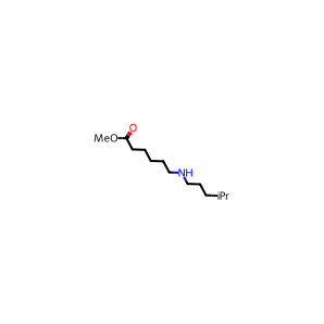 COC(=O)CCCCCNCCCC(C)C